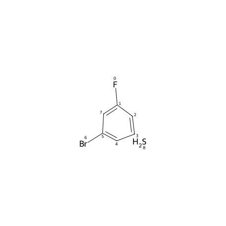 Fc1cccc(Br)c1.S